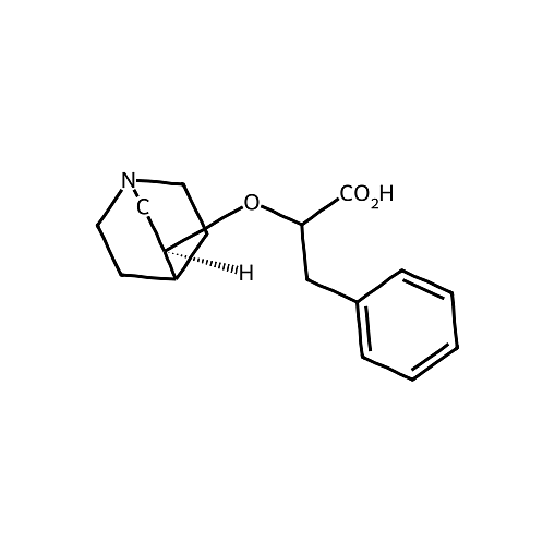 O=C(O)C(Cc1ccccc1)O[C@@H]1CN2CCC1CC2